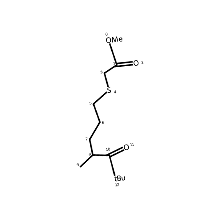 COC(=O)CSCCCC(C)C(=O)C(C)(C)C